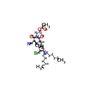 CCCCCCN(CCCCC)c1sc(/C=C2/C(=O)N(CCOC(C)=O)C(=O)C(C#N)=C2C)cc1Br